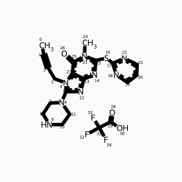 CC#CCn1c(N2CCNCC2)nc2nc(Sc3ncccn3)n(C)c(=O)c21.O=C(O)C(F)(F)F